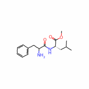 COC(=O)[C@H](CC(C)C)NC(=O)C(N)Cc1ccccc1